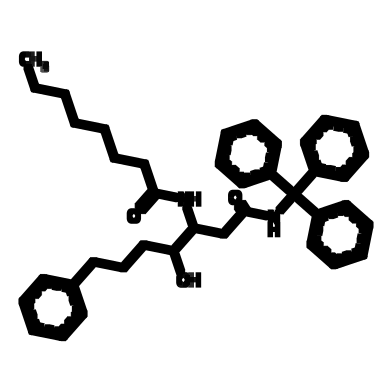 CCCCCCCC(=O)NC(CC(=O)NC(c1ccccc1)(c1ccccc1)c1ccccc1)C(O)CCCc1ccccc1